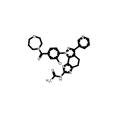 CC(=O)Nc1nc2c(s1)-c1c(c(-c3cccnc3)nn1-c1ccc(C(=O)N3CCCOCC3)cc1Cl)CC2